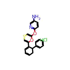 Cl.Nc1ccc(OC2=CSC=C(C3=CC=CCC3c3ccccc3)O2)nc1